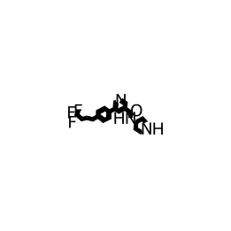 O=C(NC1CCNCC1)c1cncc(-c2ccc(CCCC(F)(F)F)cc2)c1